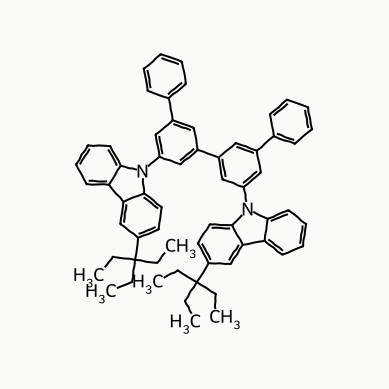 CCC(CC)(CC)c1ccc2c(c1)c1ccccc1n2-c1cc(-c2ccccc2)cc(-c2cc(-c3ccccc3)cc(-n3c4ccccc4c4cc(C(CC)(CC)CC)ccc43)c2)c1